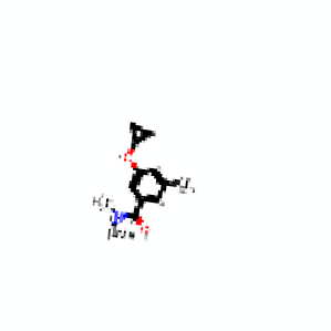 CON(C)C(=O)c1cc(OC2CC2)cc(C(F)(F)F)c1